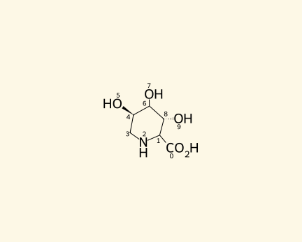 O=C(O)C1NC[C@@H](O)C(O)[C@@H]1O